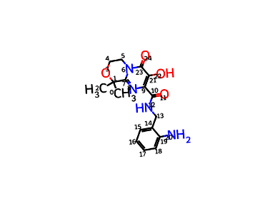 CC1(C)OCCn2c1nc(C(=O)NCc1ccccc1N)c(O)c2=O